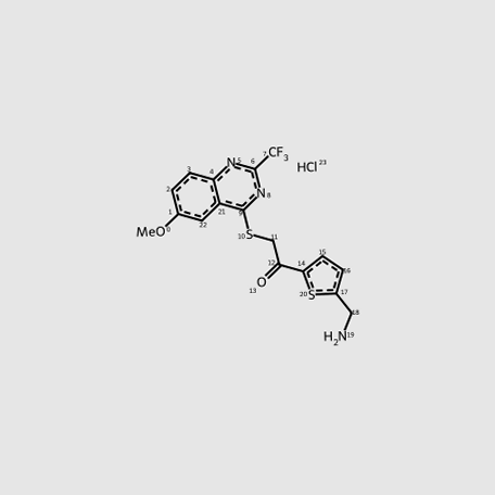 COc1ccc2nc(C(F)(F)F)nc(SCC(=O)c3ccc(CN)s3)c2c1.Cl